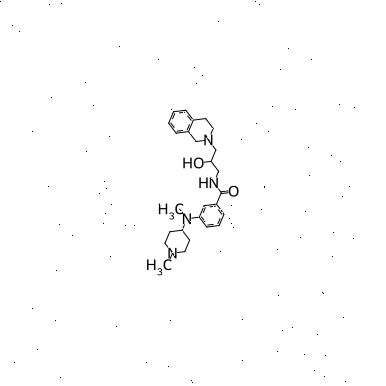 CN1CCC(N(C)c2cccc(C(=O)NCC(O)CN3CCc4ccccc4C3)c2)CC1